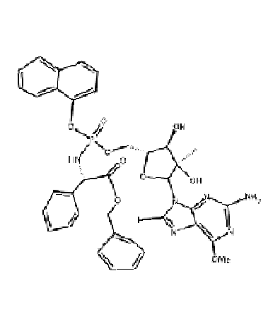 COc1nc(N)nc2c1nc(I)n2C1O[C@H](COP(=O)(N[C@H](C(=O)OCc2ccccc2)c2ccccc2)Oc2cccc3ccccc23)[C@@H](O)[C@@]1(C)O